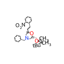 CC(C)(C)[Si](C)(C)OC[C@@H]1CN(Cc2ccccc2)C[C@@H](C=Cc2ccccc2[N+](=O)[O-])O1